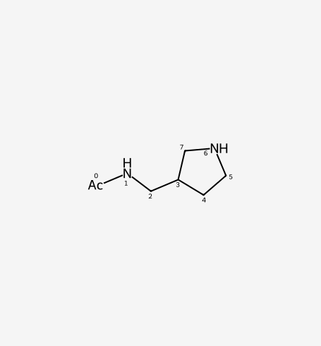 CC(=O)NCC1CCNC1